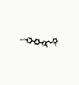 COc1ncc(-c2ccc(-c3nc(CCN4CCC[C@H]4C)c(C)o3)cc2)cn1